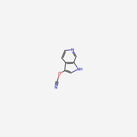 N#COc1c[nH]c2cnccc12